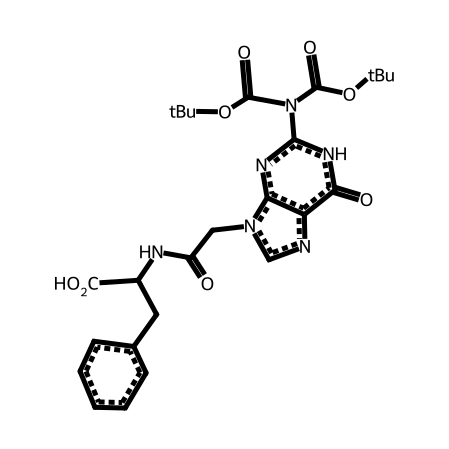 CC(C)(C)OC(=O)N(C(=O)OC(C)(C)C)c1nc2c(ncn2CC(=O)NC(Cc2ccccc2)C(=O)O)c(=O)[nH]1